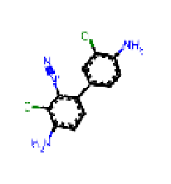 N#[N+]c1c(-c2ccc(N)c(Cl)c2)ccc(N)c1Cl